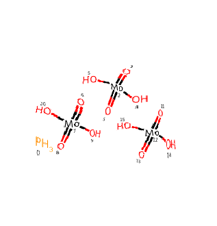 P.[O]=[Mo](=[O])([OH])[OH].[O]=[Mo](=[O])([OH])[OH].[O]=[Mo](=[O])([OH])[OH]